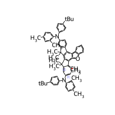 C=C1/C(=C\C(=C/C)N(c2ccc(C(C)(C)C)cc2)c2ccc(C)cc2C)C(C)(C)c2c3c(c4c(oc5ccccc54)c21)-c1ccc(N(c2ccc(C(C)(C)C)cc2)c2ccc(C)cc2C)cc1C3(C)C